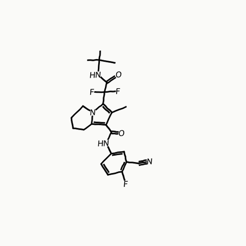 Cc1c(C(=O)Nc2ccc(F)c(C#N)c2)c2n(c1C(F)(F)C(=O)NC(C)(C)C)CCCC2